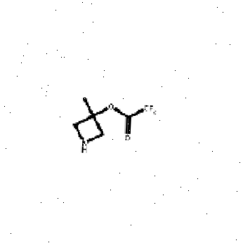 CC1(OC(=O)C(F)(F)F)CNC1